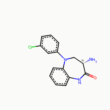 N[C@H]1CN(c2cccc(Cl)c2)c2ccccc2NC1=O